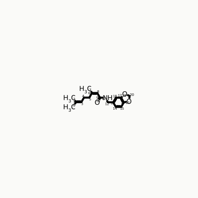 CC(C)=CCCC(C)=CC(=O)NCc1ccc2c(c1)OCO2